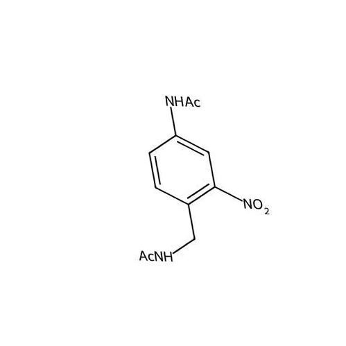 CC(=O)NCc1ccc(NC(C)=O)cc1[N+](=O)[O-]